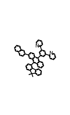 CC1(C)c2ccccc2-c2c(-c3c4ccccc4c(-c4cc(-c5ccccn5)cc(-c5ccccn5)c4)c4ccc(-c5ccc6ccccc6c5)cc34)cccc21